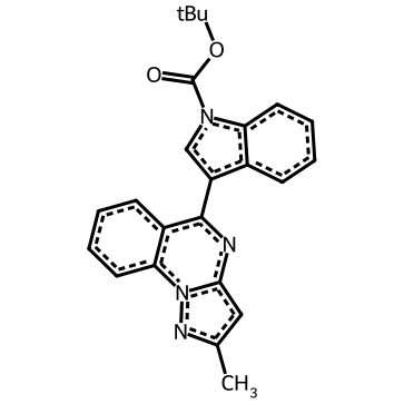 Cc1cc2nc(-c3cn(C(=O)OC(C)(C)C)c4ccccc34)c3ccccc3n2n1